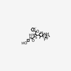 CC[C@@H](Nc1cc(C)c(-c2sc(C(=O)N[C@H]3C[C@H](O)C3)nc2C(=O)N2CCC[C@@H]2C)cn1)C(F)(F)F